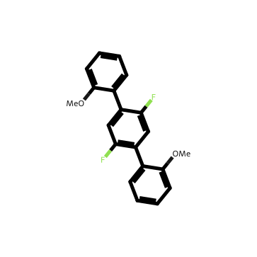 COc1ccccc1-c1cc(F)c(-c2ccccc2OC)cc1F